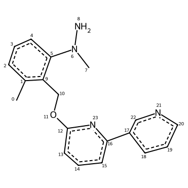 Cc1cccc(N(C)N)c1COc1cccc(-c2cccnc2)n1